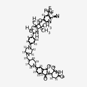 CC1(C)C(NC(=O)c2ccc(N3CCN(CC4CCN(c5ccc6c(c5)C(=O)N(C5CCC(=O)NC5=O)C6=O)CC4)CC3)cc2)C(C)(C)C1Oc1cnc(C#N)c(C(F)(F)F)c1